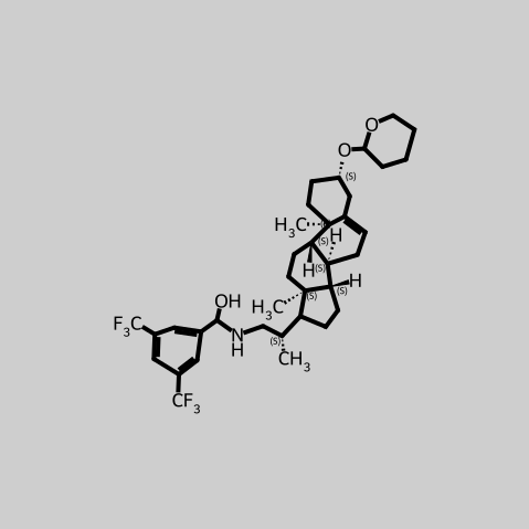 C[C@H](CNC(O)c1cc(C(F)(F)F)cc(C(F)(F)F)c1)C1CC[C@H]2[C@@H]3CC=C4C[C@@H](OC5CCCCO5)CC[C@]4(C)[C@H]3CC[C@]12C